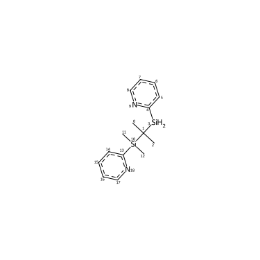 CC(C)([SiH2]c1ccccn1)[Si](C)(C)c1ccccn1